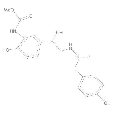 COC(=O)Nc1cc([C@H](O)CN[C@H](C)Cc2ccc(O)cc2)ccc1O